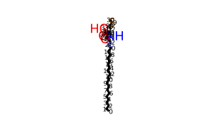 CCCCCCCCCCCCCCCCCCCCC/C=C/C(=O)N[C@@H](CCSC)C(=O)O